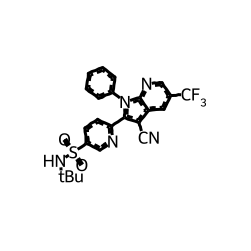 CC(C)(C)NS(=O)(=O)c1ccc(-c2c(C#N)c3cc(C(F)(F)F)cnc3n2-c2ccccc2)nc1